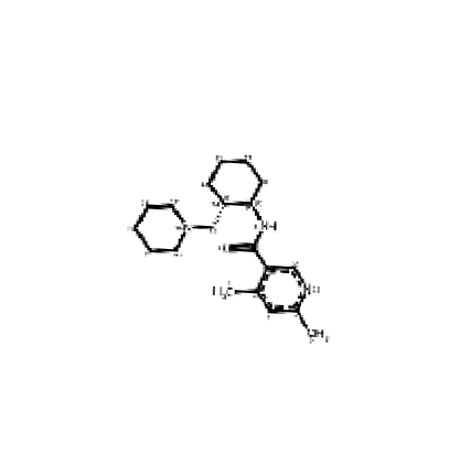 Cc1cc(C)c(C(=O)N[C@@H]2CCCC[C@H]2CN2CCCCC2)cn1